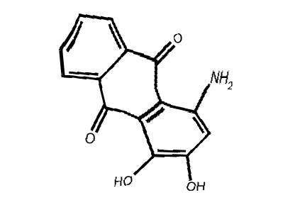 Nc1cc(O)c(O)c2c1C(=O)c1ccccc1C2=O